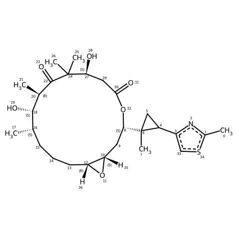 Cc1nc(C2CC2(C)[C@@H]2C[C@@H]3O[C@@H]3CCC[C@H](C)[C@H](O)[C@@H](C)C(=O)C(C)(C)[C@@H](O)CC(=O)O2)cs1